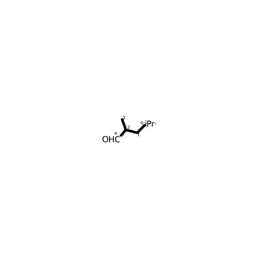 C[C](C)CC(C)C=O